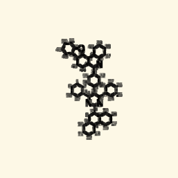 c1ccc(-c2nc(-c3cc4ccccc4c4ccccc34)nc(-c3ccccc3)c2-c2ccc(-c3nc4ccccc4c4c3ccc3c5ccccc5oc34)cc2)cc1